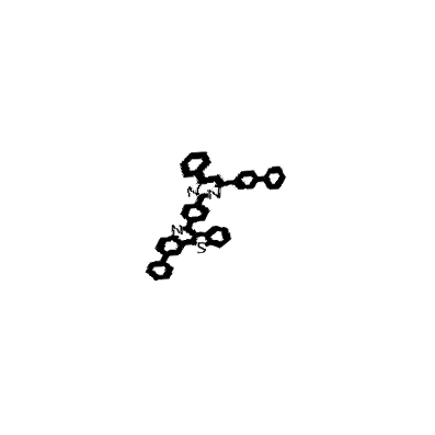 c1ccc(-c2ccc(-c3cc(-c4ccccc4)nc(-c4ccc(-c5nc6ccc(-c7ccccc7)cc6c6sc7ccccc7c56)cc4)n3)cc2)cc1